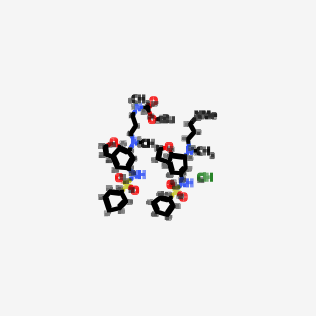 CN(CCCN(C)c1cc(NS(=O)(=O)c2ccccc2)cc2ccoc12)C(=O)OC(C)(C)C.CNCCCN(C)c1cc(NS(=O)(=O)c2ccccc2)cc2ccoc12.Cl